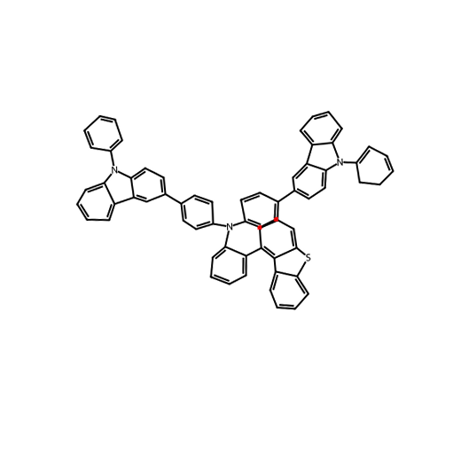 C1=CCCC(n2c3ccccc3c3cc(-c4ccc(N(c5ccc(-c6ccc7c(c6)c6ccccc6n7-c6ccccc6)cc5)c5ccccc5C5=c6c(sc7ccccc67)=CCC5)cc4)ccc32)=C1